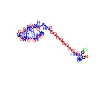 COc1ccc2c(c1)C(c1ccc(Cl)cc1)=N[C@@H](CC(=O)NCCOCCOCCOCCOCCOCCOCCOCCOCCC(=O)NCCCN(C)CCCNC(=O)c1cc(NC(=O)c3nc(NC(=O)CCNC(=O)c4c(NC(=O)c5nc(NC(=O)CCNC(=O)c6cc(NC(=O)c7nccn7C)cn6C)cn5C)ccn4C)cn3C)cn1C)c1nnc(C)n1-2